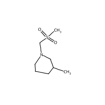 CC1CCCN(CS(C)(=O)=O)C1